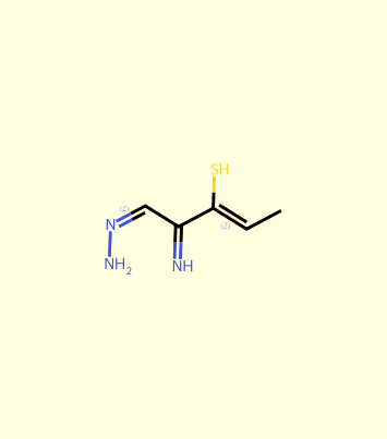 C/C=C(\S)C(=N)/C=N\N